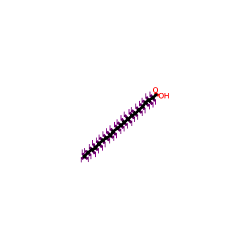 O=C(O)C(I)(I)C(I)(I)C(I)(I)C(I)(I)C(I)(I)C(I)(I)C(I)(I)C(I)(I)C(I)(I)C(I)(I)C(I)(I)C(I)(I)C(I)(I)C(I)(I)C(I)(I)C(I)(I)C(I)(I)C(I)(I)C(I)(I)C(I)(I)I